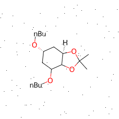 CCCCOC1C[C@H](OCCCC)C[C@H]2OC(C)(C)OC12